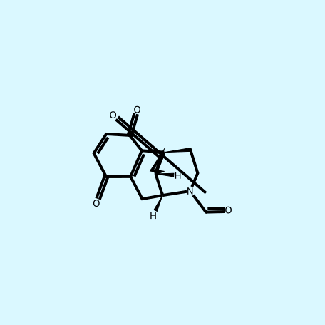 O=CN1CC[C@]23CC(=O)CC[C@H]2[C@H]1CC1=C3C(=O)C=CC1=O